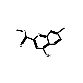 COC(=O)c1cc(O)c2ccc(F)cc2n1